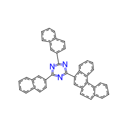 c1ccc2cc(-c3nc(-c4ccc5ccccc5c4)nc(-c4cc5ccc6ccccc6c5c5ccccc45)n3)ccc2c1